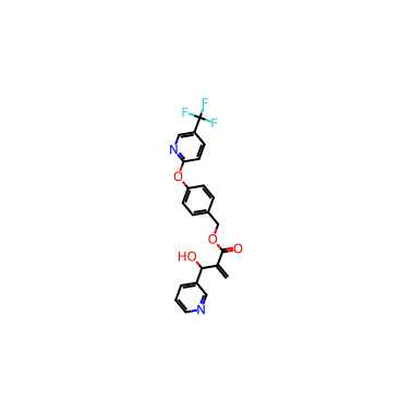 C=C(C(=O)OCc1ccc(Oc2ccc(C(F)(F)F)cn2)cc1)C(O)c1cccnc1